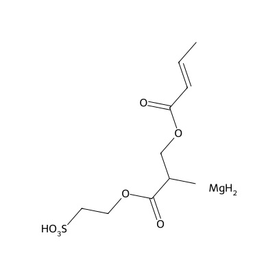 CC=CC(=O)OCC(C)C(=O)OCCS(=O)(=O)O.[MgH2]